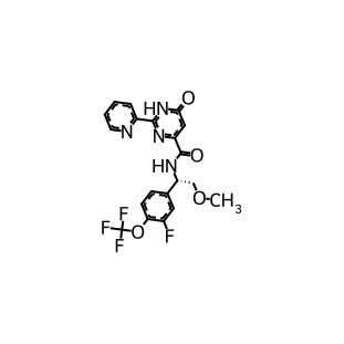 COC[C@@H](NC(=O)c1cc(=O)[nH]c(-c2ccccn2)n1)c1ccc(OC(F)(F)F)c(F)c1